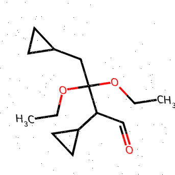 CCOC(CC1CC1)(OCC)C(C=O)C1CC1